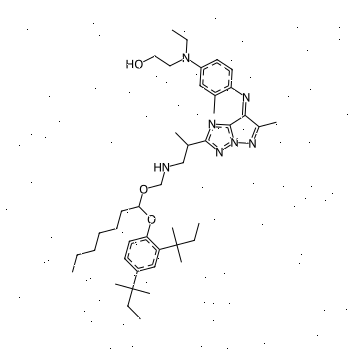 CCCCCCC(OCNCC(C)c1nc2n(n1)N=C(C)/C2=N/c1ccc(N(CC)CCO)cc1C)Oc1ccc(C(C)(C)CC)cc1C(C)(C)CC